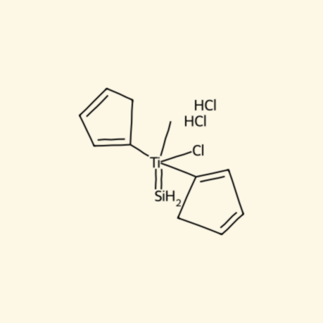 Cl.Cl.[CH3][Ti](=[SiH2])([Cl])([C]1=CC=CC1)[C]1=CC=CC1